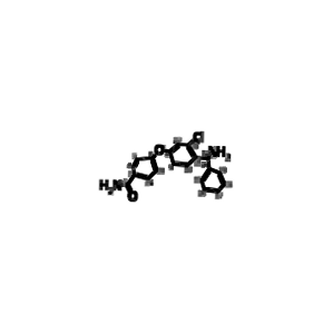 NC(=O)c1ccc(Oc2ccc(C(N)c3ccccc3)c(Cl)c2)cc1